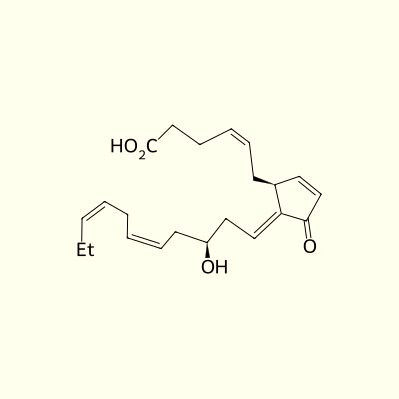 CC/C=C\C/C=C\C[C@H](O)C/C=C1/C(=O)C=C[C@@H]1C/C=C\CCC(=O)O